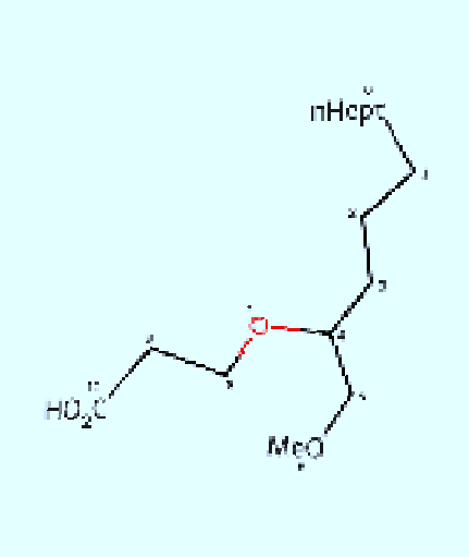 CCCCCCCCCCC(COC)OCCC(=O)O